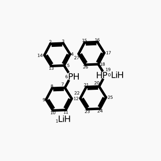 [LiH].[LiH].c1ccc(Pc2ccccc2)cc1.c1ccc(Pc2ccccc2)cc1